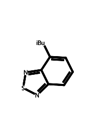 CCC(C)c1cccc2nsnc12